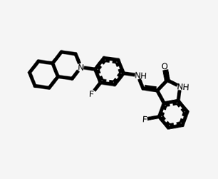 O=C1Nc2cccc(F)c2C1=CNc1ccc(N2CCC3CCCCC3C2)c(F)c1